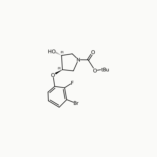 CC(C)(C)OC(=O)N1C[C@@H](O)[C@H](Oc2cccc(Br)c2F)C1